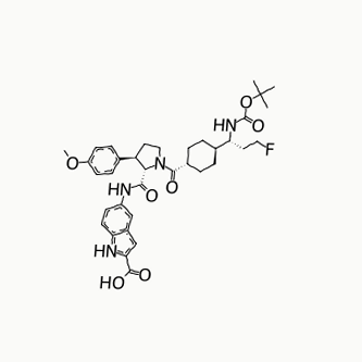 COc1ccc([C@H]2CCN(C(=O)[C@H]3CC[C@H]([C@@H](CCF)NC(=O)OC(C)(C)C)CC3)[C@@H]2C(=O)Nc2ccc3[nH]c(C(=O)O)cc3c2)cc1